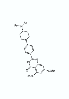 COc1cc(OC)c2c(=O)[nH]c(-c3ccc(N4CCC(N(C(C)=O)C(C)C)CC4)cc3)nc2c1